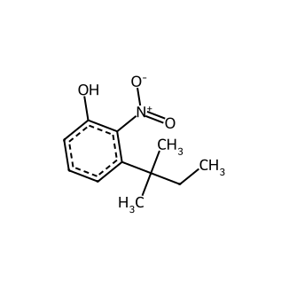 CCC(C)(C)c1cccc(O)c1[N+](=O)[O-]